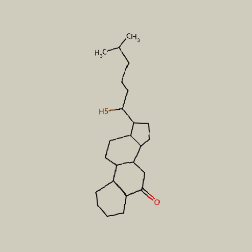 CC(C)CCCC(S)C1CCC2C1CCC1C3CCCCC3C(=O)CC12